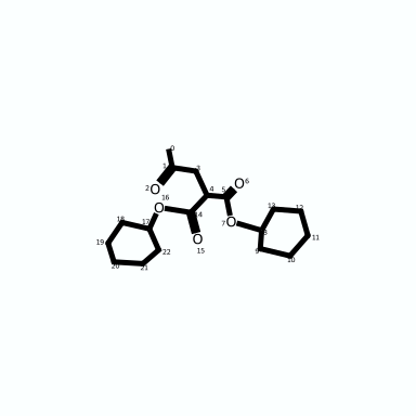 CC(=O)CC(C(=O)OC1CCCCC1)C(=O)OC1CCCCC1